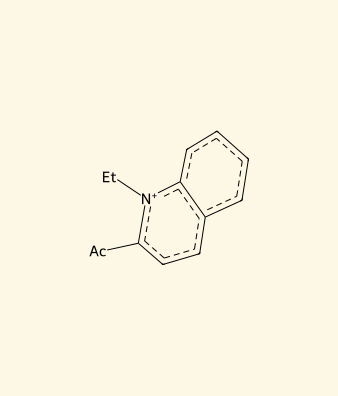 CC[n+]1c(C(C)=O)ccc2ccccc21